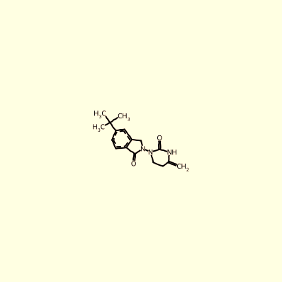 C=C1CCN(N2Cc3cc(C(C)(C)C)ccc3C2=O)C(=O)N1